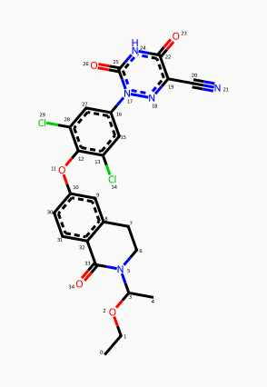 CCOC(C)N1CCc2cc(Oc3c(Cl)cc(-n4nc(C#N)c(=O)[nH]c4=O)cc3Cl)ccc2C1=O